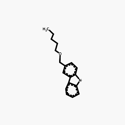 CCCCCOCc1ccc2c(c1)-c1ccccc1[N]2